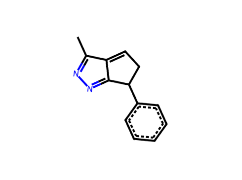 CC1=NN=C2C1=CCC2c1ccccc1